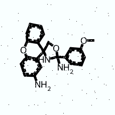 COc1cccc(C2(N)NC3(CO2)c2ccccc2Oc2ccc(N)cc23)c1